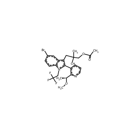 CO[C@@H](C)c1ncccc1-c1c(CC(C)(C)COC(C)=O)c2cc(Br)ccc2n1CC(F)(F)F